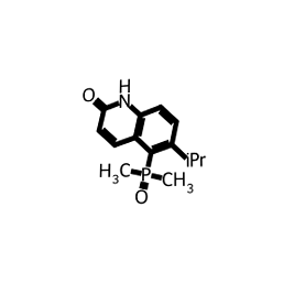 CC(C)c1ccc2[nH]c(=O)ccc2c1P(C)(C)=O